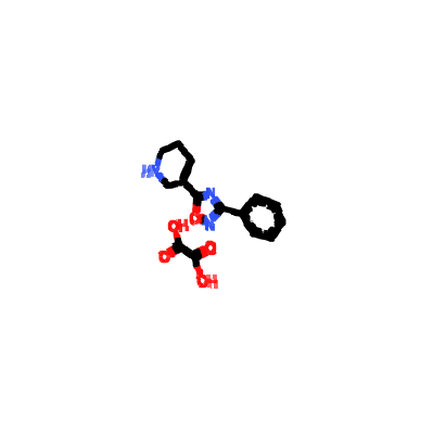 C1=C(c2nc(-c3ccccc3)no2)CNCC1.O=C(O)C(=O)O